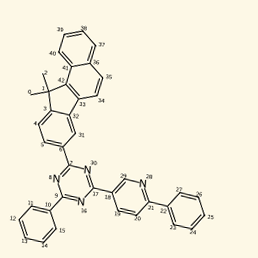 CC1(C)c2ccc(-c3nc(-c4ccccc4)nc(-c4ccc(-c5ccccc5)nc4)n3)cc2-c2ccc3ccccc3c21